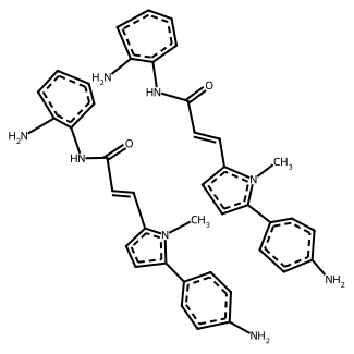 Cn1c(C=CC(=O)Nc2ccccc2N)ccc1-c1ccc(N)cc1.Cn1c(C=CC(=O)Nc2ccccc2N)ccc1-c1ccc(N)cc1